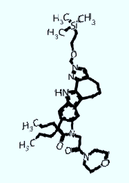 CCCC1(CCC)C(=O)N(CC(=O)N2CCOCC2)c2cc3c4c([nH]c3cc21)-c1nn(COCC[Si](C)(C)C)cc1CCC4